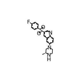 C[C@H]1CN(c2ccc3ncc(S(=O)(=O)c4ccc(F)cc4)cc3c2)CCN1